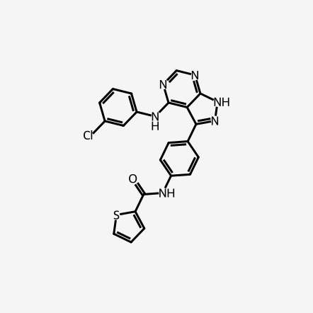 O=C(Nc1ccc(-c2n[nH]c3ncnc(Nc4cccc(Cl)c4)c23)cc1)c1cccs1